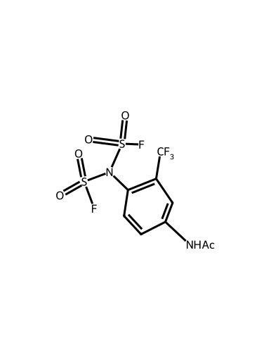 CC(=O)Nc1ccc(N(S(=O)(=O)F)S(=O)(=O)F)c(C(F)(F)F)c1